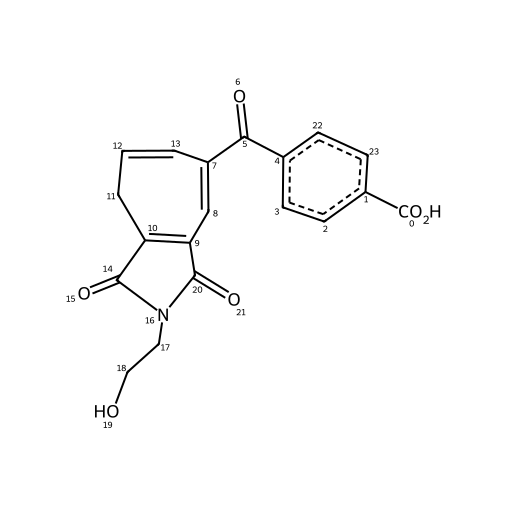 O=C(O)c1ccc(C(=O)C2=CC3=C(CC=C2)C(=O)N(CCO)C3=O)cc1